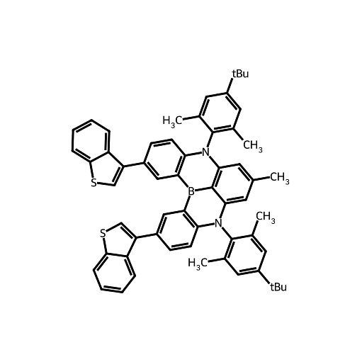 Cc1cc2c3c(c1)N(c1c(C)cc(C(C)(C)C)cc1C)c1ccc(-c4csc5ccccc45)cc1B3c1cc(-c3csc4ccccc34)ccc1N2c1c(C)cc(C(C)(C)C)cc1C